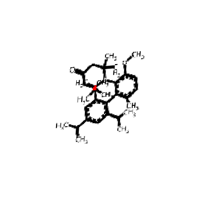 COc1ccc(C)c(-c2c(C(C)C)cc(C(C)C)cc2C(C)C)c1P1C(C)(C)CC(=O)CC1(C)C